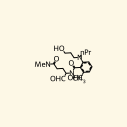 CCCN(CCCO)c1cccc(C=O)c1C(=O)N(C)C(C=O)CCC(=O)NC